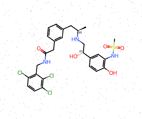 C[C@H](Cc1cccc(CC(=O)NCc2c(Cl)ccc(Cl)c2Cl)c1)NC[C@@H](O)c1ccc(O)c(NS(C)(=O)=O)c1